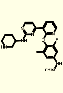 CCCCCCNc1cc(C)c(Oc2ncccc2-c2ccnc(NC3CCCNC3)n2)c(F)c1